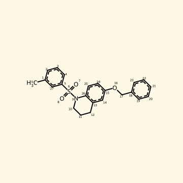 Cc1cccc(S(=O)(=O)N2CCCc3cc(OCc4ccccc4)ccc32)c1